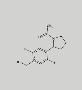 CC(=O)N1CCCC1c1cc(F)c(CO)cc1F